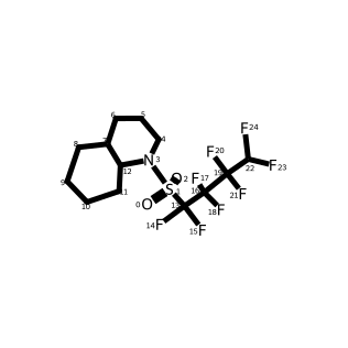 O=S(=O)(N1CCCC2CCCCC21)C(F)(F)C(F)(F)C(F)(F)C(F)F